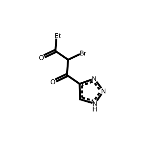 CCC(=O)C(Br)C(=O)c1c[nH]nn1